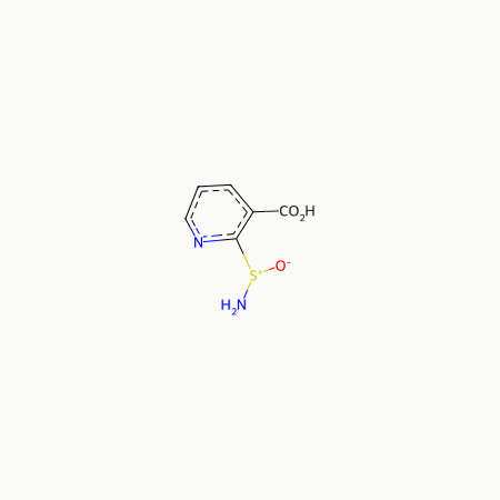 N[S+]([O-])c1ncccc1C(=O)O